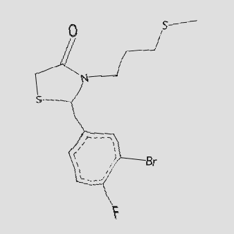 CSCCCN1C(=O)CSC1c1ccc(F)c(Br)c1